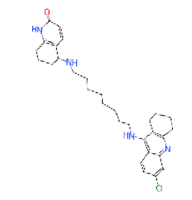 O=c1ccc2c([nH]1)CCCC2NCCCCCCCCNc1c2c(nc3cc(Cl)ccc13)CCCC2